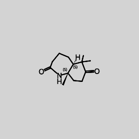 CC1(C)C(=O)CC[C@]2(C)NC(=O)CCC[C@@H]12